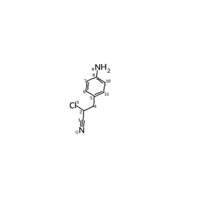 N#CC(Cl)Cc1ccc(N)cc1